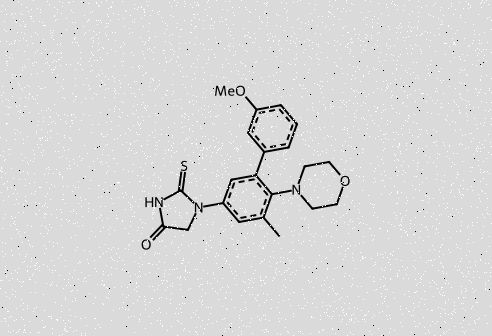 COc1cccc(-c2cc(N3CC(=O)NC3=S)cc(C)c2N2CCOCC2)c1